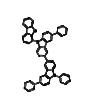 c1ccc(-c2ccc3c(c2)c2cc(-c4ccc5c(c4)c4cc(-c6ccccc6)ccc4n5-c4cccc5c4oc4ccccc45)ccc2n3-c2ccccc2)cc1